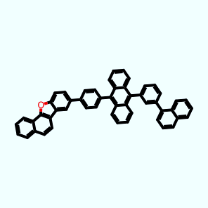 c1cc(-c2cccc3ccccc23)cc(-c2c3ccccc3c(-c3ccc(-c4ccc5oc6c7ccccc7ccc6c5c4)cc3)c3ccccc23)c1